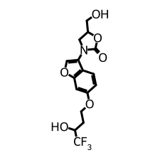 O=C1OC(CO)CN1c1coc2cc(OCCC(O)C(F)(F)F)ccc12